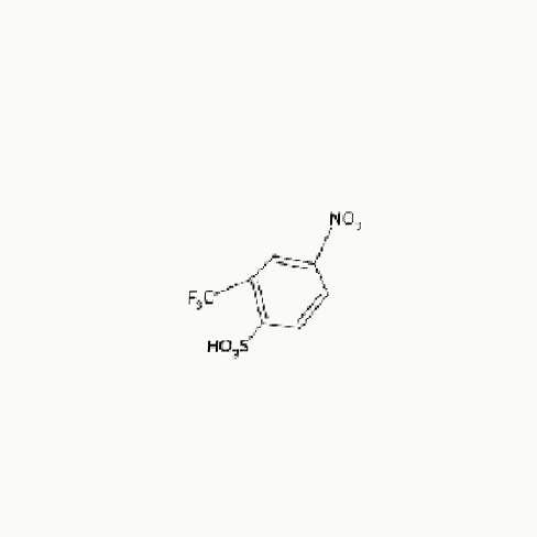 O=[N+]([O-])c1ccc(S(=O)(=O)O)c(C(F)(F)F)c1